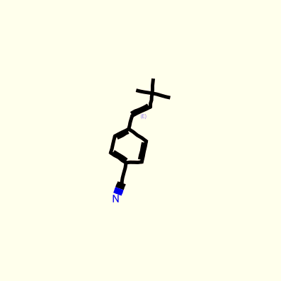 CC(C)(C)/C=C/c1ccc(C#N)cc1